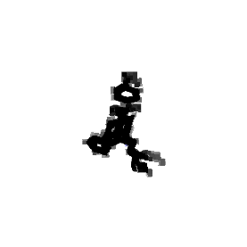 CC(C)=C/C=C1/C2CC3(C(=O)N[C@H]4CC[C@H](N)CC4)CC4(c5ccccc5)CC1C234